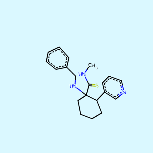 CNC(=S)C1(NCc2ccccc2)CCCCC1c1cccnc1